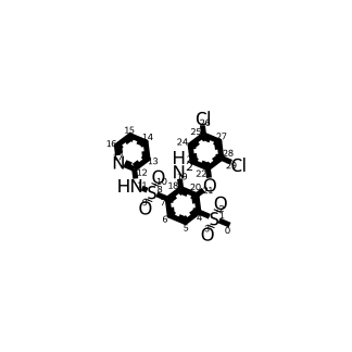 CS(=O)(=O)c1ccc(S(=O)(=O)Nc2ccccn2)c(N)c1Oc1ccc(Cl)cc1Cl